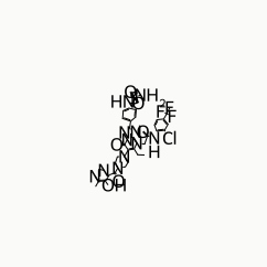 CCc1c(N2CCN(C(=O)c3ncnc(C)c3O)CC2)c(=O)n2nc(-c3ccc(NS(N)(=O)=O)cc3)nc2n1CC(=O)Nc1ccc(C(F)(F)F)cc1Cl